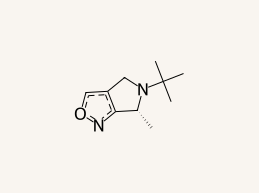 C[C@@H]1c2nocc2CN1C(C)(C)C